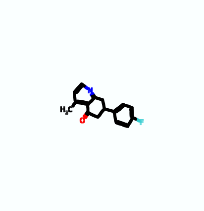 Cc1ccnc2c1C(=O)CC(c1ccc(F)cc1)C2